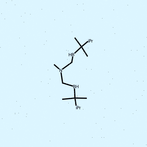 CC(C)C(C)(C)BCN(C)CBC(C)(C)C(C)C